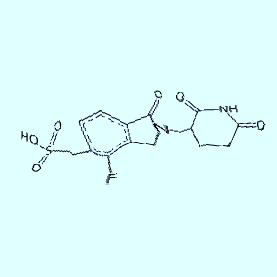 O=C1CCC(N2Cc3c(ccc(CS(=O)(=O)O)c3F)C2=O)C(=O)N1